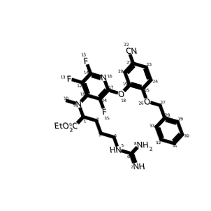 CCOC(=O)C(CCCNC(=N)N)N(C)c1c(F)c(F)nc(Oc2cc(C#N)ccc2OCc2ccccc2)c1F